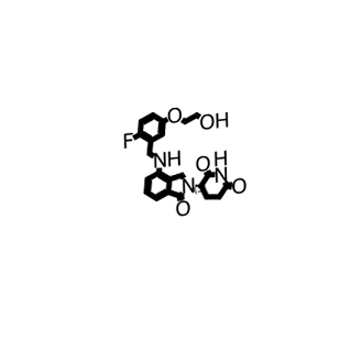 O=C1CC[C@H](N2Cc3c(NCc4cc(OCCO)ccc4F)cccc3C2=O)C(=O)N1